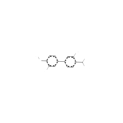 CSc1ccc(-c2ccc(C(C)C)c(O)c2)cc1O